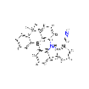 CC1(C)c2ccccc2B2c3c(cccc31)-n1c3c(C#N)cccc3c3cccc2c31